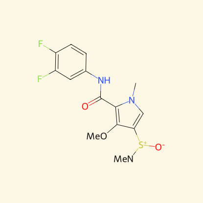 CN[S+]([O-])c1cn(C)c(C(=O)Nc2ccc(F)c(F)c2)c1OC